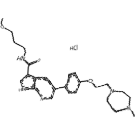 COCCCNC(=O)c1c[nH]c2ncc(-c3ccc(OCCN4CCN(C)CC4)cc3)cc12.Cl